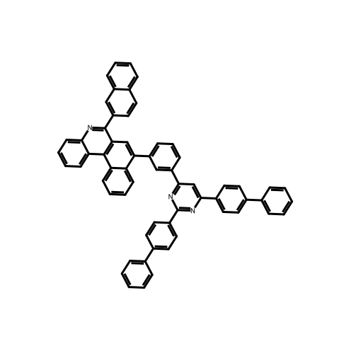 c1ccc(-c2ccc(-c3cc(-c4cccc(-c5cc6c(-c7ccc8ccccc8c7)nc7ccccc7c6c6ccccc56)c4)nc(-c4ccc(-c5ccccc5)cc4)n3)cc2)cc1